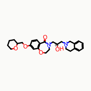 O=C1c2ccc(OCC3CCCCO3)cc2OCCN1C[C@H](O)CN1CCc2ccccc2C1